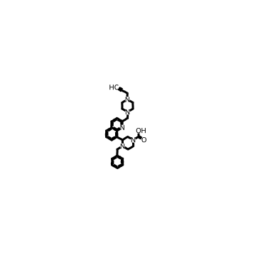 C#CCN1CCN(Cc2ccc3cccc(C4CN(C(=O)O)CCN4Cc4ccccc4)c3n2)CC1